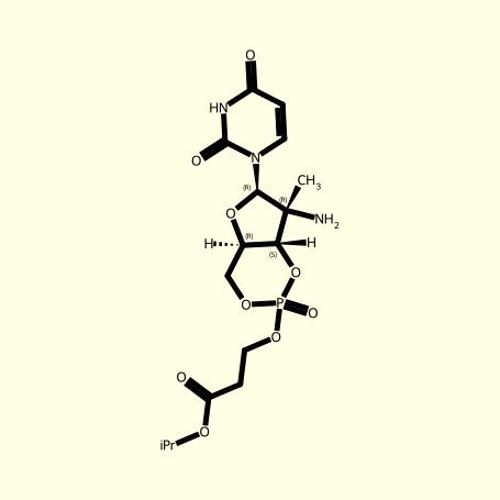 CC(C)OC(=O)CCOP1(=O)OC[C@H]2O[C@@H](n3ccc(=O)[nH]c3=O)[C@](C)(N)[C@@H]2O1